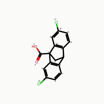 O=C(O)C12CC(c3ccc(Cl)cc31)c1ccc(Cl)cc12